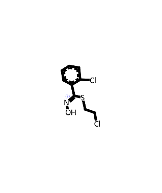 O/N=C(\SCCCl)c1ccccc1Cl